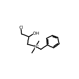 C[N+](C)(Cc1ccccc1)CC(O)CCl